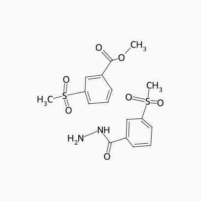 COC(=O)c1cccc(S(C)(=O)=O)c1.CS(=O)(=O)c1cccc(C(=O)NN)c1